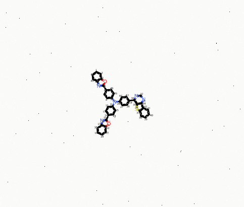 c1ccc2oc(-c3ccc(N(c4ccc(-c5nc6ccccc6o5)cc4)c4ccc(-c5ncnc6c5sc5ccccc56)cc4)cc3)nc2c1